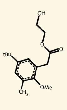 COc1c(C)cc(C(C)(C)C)cc1CC(=O)OCCO